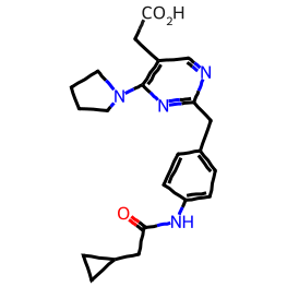 O=C(O)Cc1cnc(Cc2ccc(NC(=O)CC3CC3)cc2)nc1N1CCCC1